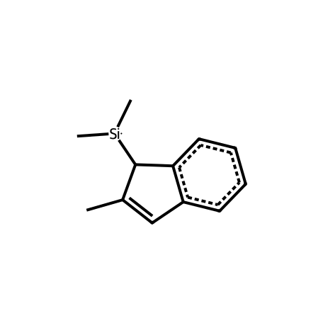 CC1=Cc2ccccc2C1[Si](C)C